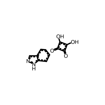 O=c1c(O)c(O)c1=O.c1ccc2[nH]ncc2c1